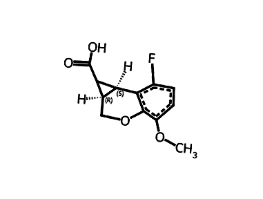 COc1ccc(F)c2c1OC[C@H]1C(C(=O)O)[C@@H]21